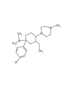 CCC1CC(c2ccc(Cl)cc2)(N(C)C)CCC1N1CCN(C)CC1